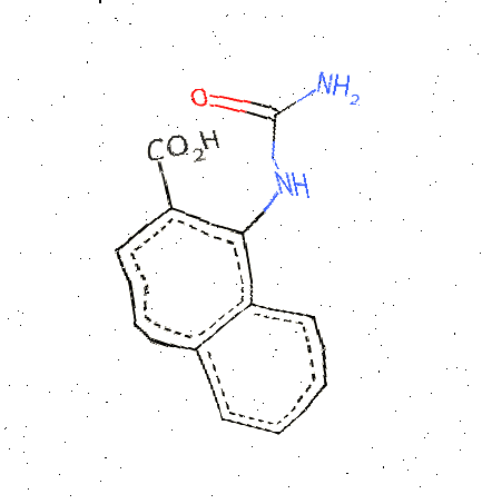 NC(=O)Nc1c(C(=O)O)ccc2ccccc12